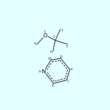 COC(C)(C)C.c1ccncc1